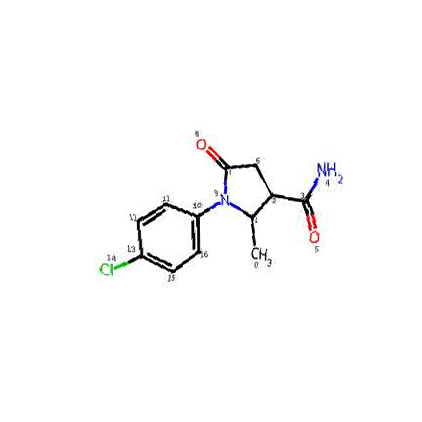 CC1C(C(N)=O)CC(=O)N1c1ccc(Cl)cc1